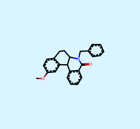 COc1ccc2c(c1)C1c3ccccc3C(=O)N(Cc3ccccc3)C1CC2